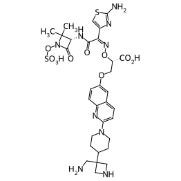 CC1(C)[C@H](NC(=O)/C(=N\O[C@@H](COc2ccc3nc(N4CCC(C5(CN)CNC5)CC4)ccc3c2)C(=O)O)c2csc(N)n2)C(=O)N1OS(=O)(=O)O